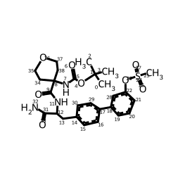 CC(C)(C)OC(=O)NC1(C(=O)NC(Cc2ccc(-c3cccc(OS(C)(=O)=O)c3)cc2)C(N)=O)CCOCC1